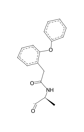 C[C@@H]([C]=O)NC(=O)Cc1ccccc1Oc1ccccc1